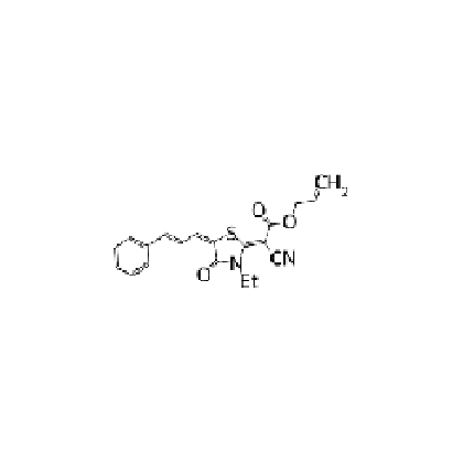 C=CCOC(=O)/C(C#N)=c1\sc(=C/C=C/c2ccccc2)c(=O)n1CC